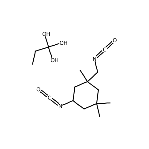 CC1(C)CC(N=C=O)CC(C)(CN=C=O)C1.CCC(O)(O)O